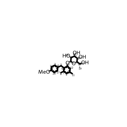 COc1ccc(Cc2c(C)cc(C)cc2O[C@@H]2O[C@H]([C@@H](C)O)[C@@H](O)[C@H](O)[C@H]2O)cc1